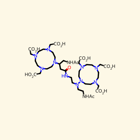 CC(=O)NCCN(CCNC(=O)CC(CNC(C)=O)N1CCN(CC(=O)O)CCN(CC(=O)O)CCN(CC(=O)O)CC1)N1CCN(CC(=O)O)CCN(CC(=O)O)CCN(CC(=O)O)CC1